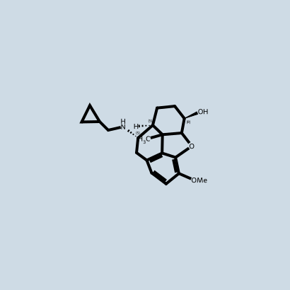 COc1ccc2c3c1OC1[C@H](O)CC[C@H]([C@@H](NCC4CC4)C2)C31C